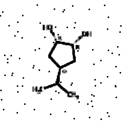 CC(C)[C@@H]1C[C@@H](O)[C@@H](O)C1